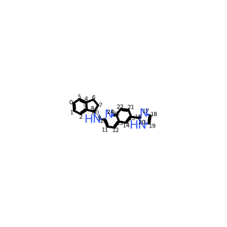 c1ccc2c(c1)CC[C@H]2Nc1ccc2cc(-c3ncc[nH]3)ccc2n1